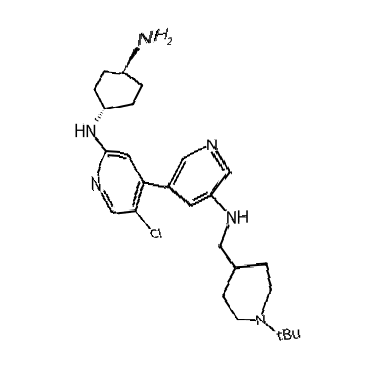 CC(C)(C)N1CCC(CNc2cncc(-c3cc(N[C@H]4CC[C@H](N)CC4)ncc3Cl)c2)CC1